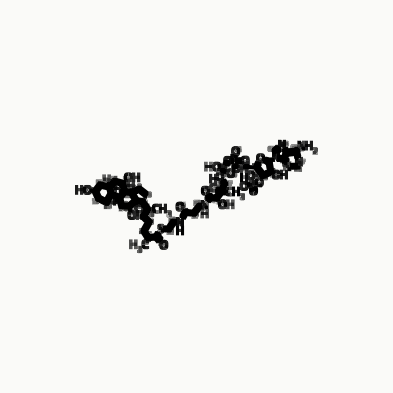 CC(CCC[C@@H](C)[C@H]1CC[C@H]2[C@@H]3[C@H](O)C[C@@H]4C[C@H](O)CC[C@]4(C)[C@H]3C[C@H](O)[C@]12C)C(=O)SCCNC(=O)CCNC(=O)[C@H](O)C(C)(C)COP(=O)(O)OP(=O)(O)OC[C@H]1O[C@@H](n2cnc3c(N)ncnc32)[C@H](O)[C@@H]1OP(=O)(O)O